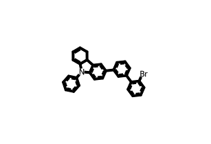 Brc1ccccc1-c1cccc(-c2ccc3c(c2)C2CC=CC=C2N3c2ccccc2)c1